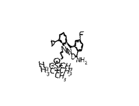 CC(C)(C)[Si](C)(C)OCCn1nc(-c2cc(F)ccc2C(N)=O)c2cccc(C3CC3)c21